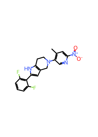 Cc1cc([N+](=O)[O-])ncc1N1CCc2[nH]c(-c3c(F)cccc3F)cc2C1